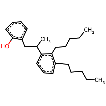 CCCCCc1cccc(C(C)Cc2ccccc2O)c1CCCCC